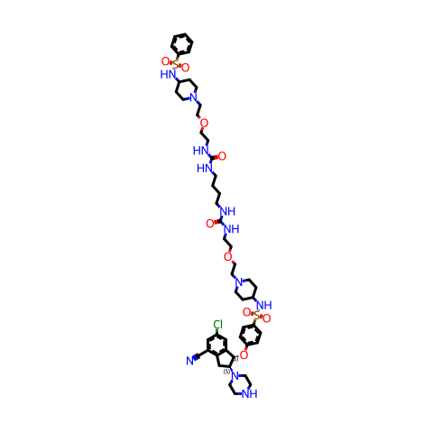 N#Cc1cc(Cl)cc2c1C[C@H](N1CCNCC1)[C@H]2Oc1ccc(S(=O)(=O)NC2CCN(CCOCCNC(=O)NCCCCNC(=O)NCCOCCN3CCC(NS(=O)(=O)c4ccccc4)CC3)CC2)cc1